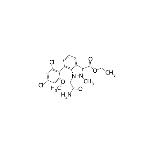 CCOC(=O)C1c2cccc(-c3ccc(Cl)cc3Cl)c2N(C(OC)C(N)=O)N1C